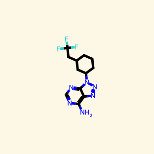 Nc1ncnc2c1nnn2C1CCCC(CC(F)(F)F)C1